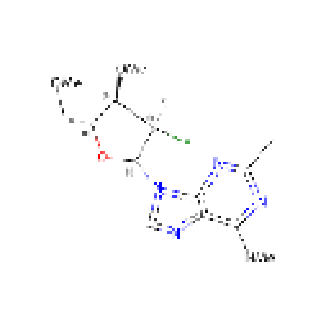 CNc1nc(C)nc2c1ncn2[C@@H]1O[C@H](COC)[C@@H](OC)[C@@]1(C)F